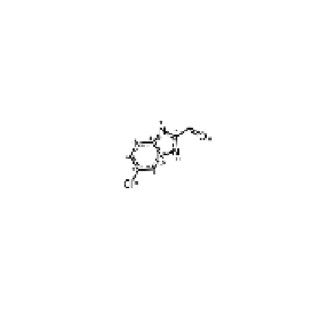 O=Cc1nc2ncc(Cl)cn2n1